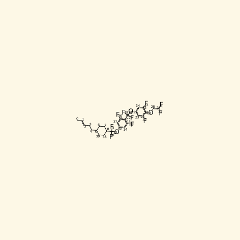 C/C=C/CCC1CCC(C(F)(F)Oc2cc(F)c(C(F)(F)Oc3cc(F)c(OC=C(F)F)c(F)c3)c(F)c2)CC1